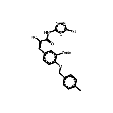 CCc1nnc(NC(=O)C(C#N)=Cc2ccc(OCc3ccc(C)cc3)c(OC)c2)s1